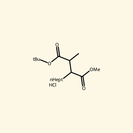 CCCCCCCC(C(=O)OC)C(C)C(=O)OC(C)(C)C.Cl